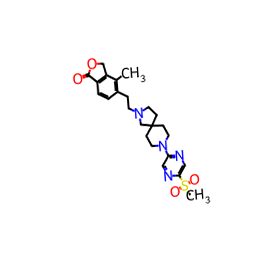 Cc1c(CCN2CCC3(CCN(c4cnc(S(C)(=O)=O)cn4)CC3)C2)ccc2c1COC2=O